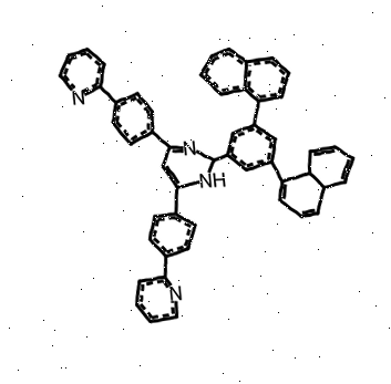 C1=CC2C=CC=C(c3cc(-c4cccc5ccccc45)cc(C4N=C(c5ccc(-c6ccccn6)cc5)C=C(c5ccc(-c6ccccn6)cc5)N4)c3)C2C=C1